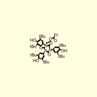 CCC(=O)OCC[N+]1(c2cc(C(C)(C)C)c(O)c(C(C)(C)C)c2)C(=O)N(c2cc(C(C)(C)C)c(O)c(C(C)(C)C)c2)C(=O)N(c2cc(C(C)(C)C)c(O)c(C(C)(C)C)c2)C1=O